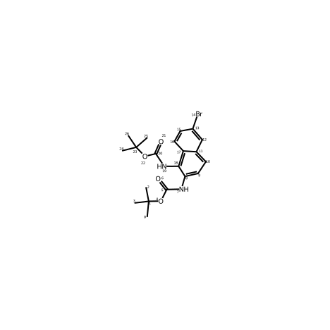 CC(C)(C)OC(=O)Nc1ccc2cc(Br)ccc2c1NC(=O)OC(C)(C)C